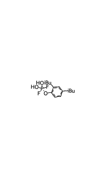 CCC(C)c1ccc(OP(O)(O)(F)F)c(C(C)CC)c1